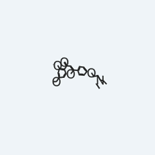 CCN(CC)CCOc1ccc(-c2cc(=O)c3c(OC)cc(OC)cc3o2)cc1